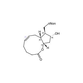 CCCCCCCCCC[C@@H]1[C@H]2C/C=C\CCCC(=O)O[C@H]2C[C@H]1O